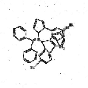 Cc1cc(C)cc(C2=CC=C[CH]2[Hf](=[C](c2ccccc2)c2ccccc2)[CH]2c3cc(C(C)(C)C)ccc3-c3ccc(C(C)(C)C)cc32)c1